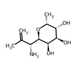 C=C(C)[C@@H](N)[C@H]1O[C@H](C)[C@H](O)[C@@H](O)[C@H]1O